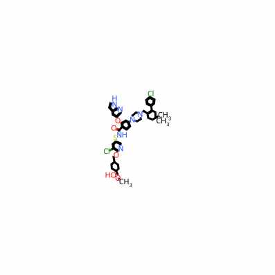 COCC1(O)CCC(COc2ncc(SNC(=O)c3ccc(N4CCN(CC5=C(c6ccc(Cl)cc6)CC(C)(C)CC5)CC4)cc3Oc3cnc4[nH]ccc4c3)cc2Cl)CC1